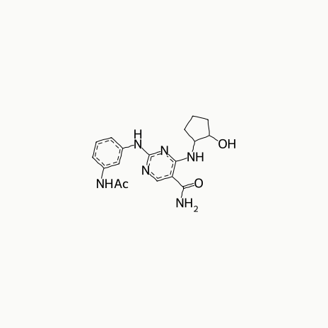 CC(=O)Nc1cccc(Nc2ncc(C(N)=O)c(NC3CCCC3O)n2)c1